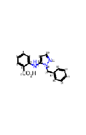 O=C(O)c1ccccc1Nc1ccnn1Cc1ccccc1